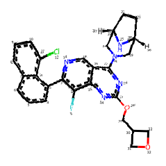 Fc1c(-c2cccc3cccc(Cl)c23)ncc2c(N3C[C@H]4CC[C@@H](C3)N4)nc(OCC3COC3)nc12